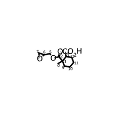 CC1(C(=O)OCC2CO2)CCCCC1C(=O)O